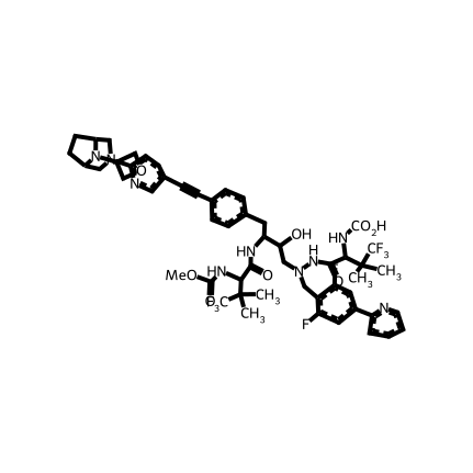 COC(=O)NC(C(=O)NC(Cc1ccc(C#Cc2ccc(N3CC4CCC(C3)N4C3COC3)nc2)cc1)C(O)CN(Cc1c(F)cc(-c2ccccn2)cc1F)NC(=O)C(NC(=O)O)C(C)(C)C(F)(F)F)C(C)(C)C(F)(F)F